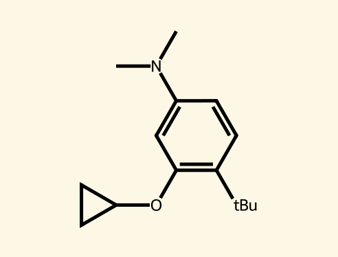 CN(C)c1ccc(C(C)(C)C)c(OC2CC2)c1